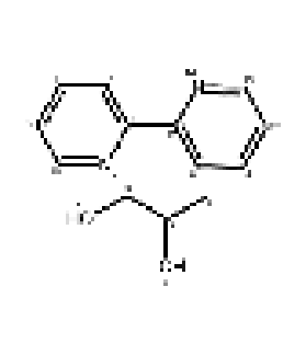 CC(O)CO.c1ccc(-c2ccccn2)nc1